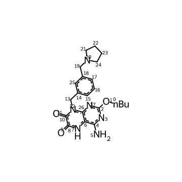 CCCCOc1nc(N)c2[nH]c(=O)c(=O)n(Cc3cccc(CN4CCCC4)c3)c2n1